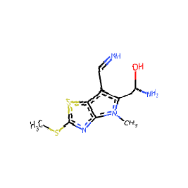 CSc1nc2c(s1)c(C=N)c(C(N)O)n2C